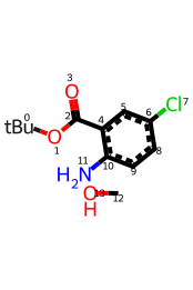 CC(C)(C)OC(=O)c1cc(Cl)ccc1N.CO